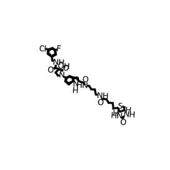 O=C(CCCCC1SC[C@@H]2NC(=O)N[C@H]12)NCCCCNC(=O)c1cc2cc(N3CC[C@](O)(C(=O)NCc4cc(F)cc(Cl)c4)C3=O)ccc2[nH]1